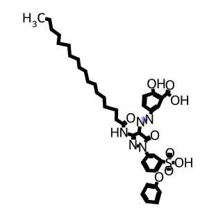 CCCCCCCCCCCCCCCCCC(=O)NC1=NN(c2ccc(Oc3ccccc3)c(S(=O)(=O)O)c2)C(=O)C1/N=N/c1ccc(O)c(C(=O)O)c1